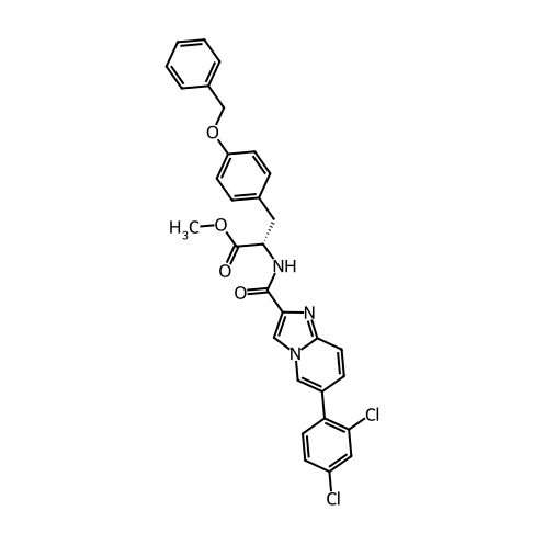 COC(=O)[C@H](Cc1ccc(OCc2ccccc2)cc1)NC(=O)c1cn2cc(-c3ccc(Cl)cc3Cl)ccc2n1